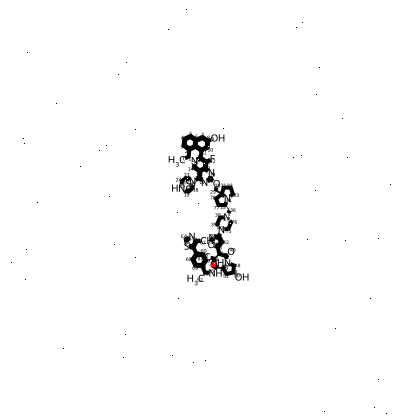 CCc1cccc2cc(O)cc(-c3ncc4c(N5CC6CCCC5CN6)nc(OC[C@@]56CCCN5[C@H](CN5CCN(c7cc([C@@H](C(=O)N8C[C@H](O)C[C@H]8C(=O)N[C@@H](C)c8ccc(-c9scnc9C)cc8)C(C)C)on7)CC5)CC6)nc4c3F)c12